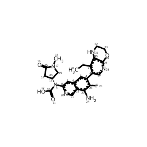 CCc1c(-c2cc3cc(N(C(=O)O)[C@@H]4CC(=O)N(C)C4)ncc3c(N)c2F)cnc2c1NCCO2